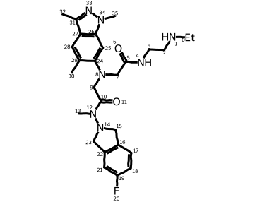 CCNCCNC(=O)CN(CC(=O)N(C)N1Cc2ccc(F)cc2C1)c1cc2c(cc1C)c(C)nn2C